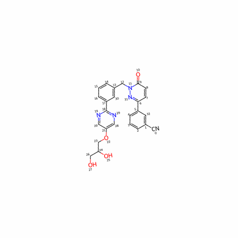 N#Cc1cccc(-c2ccc(=O)n(Cc3cccc(-c4ncc(OCC(O)CO)cn4)c3)n2)c1